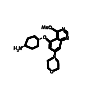 COc1ncnc2cc(N3CCOCC3)cc(O[C@H]3CC[C@@H](N)CC3)c12